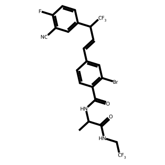 CC(NC(=O)c1ccc(/C=C/C(c2ccc(F)c(C#N)c2)C(F)(F)F)cc1Br)C(=O)NCC(F)(F)F